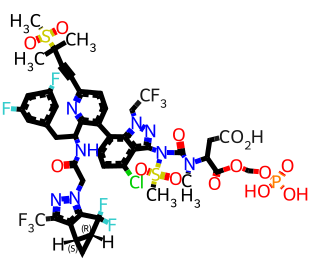 CN(C(=O)N(c1nn(CC(F)(F)F)c2c(-c3ccc(C#CC(C)(C)S(C)(=O)=O)nc3C(Cc3cc(F)cc(F)c3)NC(=O)Cn3nc(C(F)(F)F)c4c3C(F)(F)[C@@H]3C[C@H]43)ccc(Cl)c12)S(C)(=O)=O)C(CC(=O)O)C(=O)OCOP(=O)(O)O